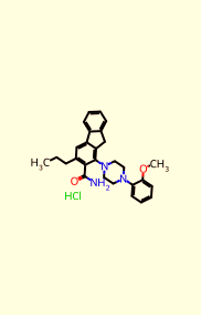 CCCc1cc2c(c(N3CCN(c4ccccc4OC)CC3)c1C(N)=O)Cc1ccccc1-2.Cl